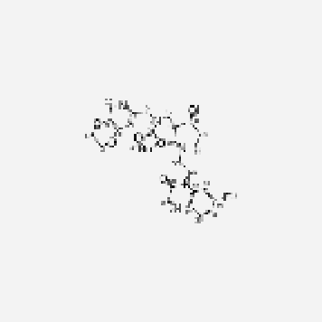 CC(C)(C)OC(=O)N(Cc1cc2c(cn1)OCCO2)CC1CN(CCn2c(=O)cnc3ccc(F)cc32)CCC1O